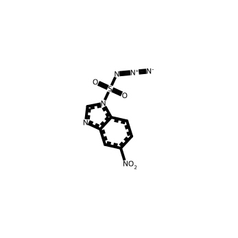 [N-]=[N+]=NS(=O)(=O)n1cnc2cc([N+](=O)[O-])ccc21